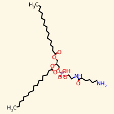 CCCCCCCCCCCCCCCC(=O)OC[C@@H](COP(=O)(O)OCCNC(=O)CCCCCN)OC(=O)CCCCCCCCCCCCCCC